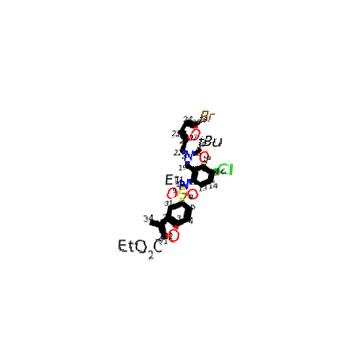 CCOC(=O)c1oc2ccc(S(=O)(=O)N(CC)c3ccc(Cl)cc3CN(Cc3ccc(Br)o3)C(=O)C(C)(C)C)cc2c1C